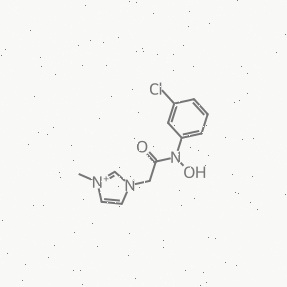 C[n+]1ccn(CC(=O)N(O)c2cccc(Cl)c2)c1